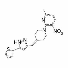 Cc1ccc([N+](=O)[O-])c(N2CCC(=Cc3cc(-c4cccs4)[nH]n3)CC2)n1